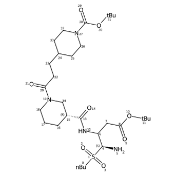 CCCCS(=O)(=O)[C@H](N)C(CC(=O)OC(C)(C)C)NC(=O)[C@@H]1CCCN(C(=O)CCC2CCN(C(=O)OC(C)(C)C)CC2)C1